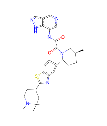 C[C@H]1CC[C@H](c2ccc3sc(C4CCN(C)C(C)(C)C4)nc3c2)N(C(=O)C(=O)Nc2cncc3cn[nH]c23)C1